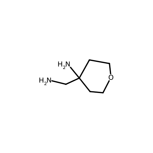 NCC1(N)CCOCC1